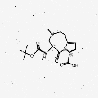 CN1CCC2=CC[C@@H](C(=O)O)N2C(=O)[C@@H](NC(=O)OC(C)(C)C)C1